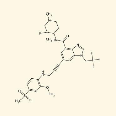 COc1cc(S(C)(=O)=O)ccc1NCC#Cc1cc(C(=O)NC2CCN(C)CC2(C)F)c2ncn(CC(F)(F)F)c2c1